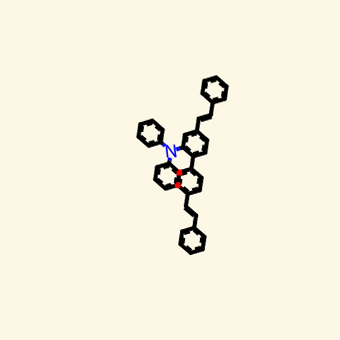 C(=Cc1ccc(-c2ccc(C=Cc3ccccc3)cc2N(c2ccccc2)c2ccccc2)cc1)c1ccccc1